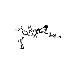 COCCCn1ccc2ccc(C(=O)N(C[C@@H]3CN(C(=O)O)C[C@H]3CNC3CC3)C(C)C)cc21